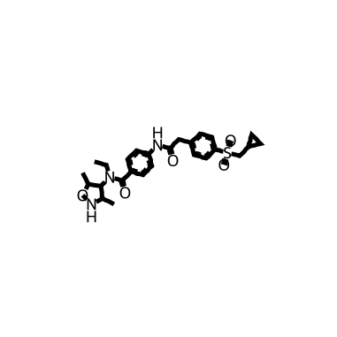 CCN(C(=O)c1ccc(NC(=O)Cc2ccc(S(=O)(=O)CC3CC3)cc2)cc1)C1C(C)NOC1C